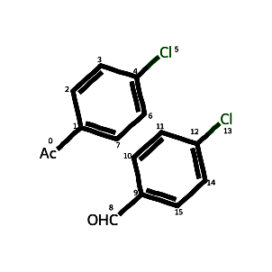 CC(=O)c1ccc(Cl)cc1.O=Cc1ccc(Cl)cc1